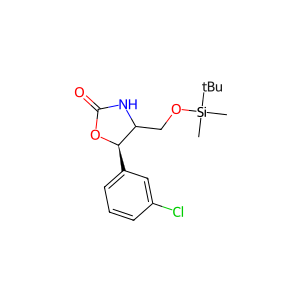 CC(C)(C)[Si](C)(C)OCC1NC(=O)O[C@@H]1c1cccc(Cl)c1